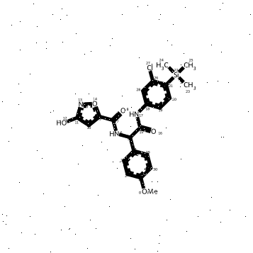 COc1ccc(C(NC(=O)c2cc(O)no2)C(=O)Nc2ccc([Si](C)(C)C)c(Cl)c2)cc1